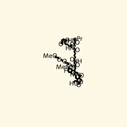 C=C[C@@]1(O)C(=O)OCc2c1cc1n(c2=O)Cc2c-1nc1cc(F)c(OC)cc1c2CN(CCOCCOCCOCCOC)C(=O)CNC(=O)CCCCC(=O)[C@H](CCC(=O)NCCC)NC(=O)CCCN1C(=O)C=CC1=O